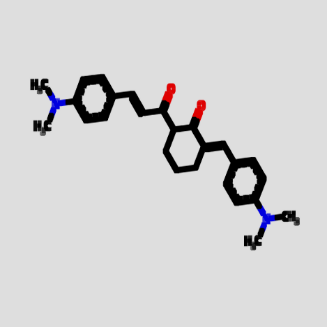 CN(C)c1ccc(C=CC(=O)C2CCCC(=Cc3ccc(N(C)C)cc3)C2=O)cc1